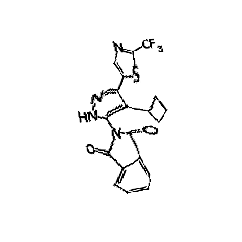 O=C1c2ccccc2C(=O)N1c1[nH]nc(-c2cnc(C(F)(F)F)s2)c1C1CCC1